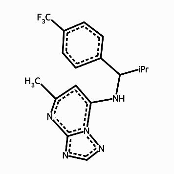 Cc1cc(NC(c2ccc(C(F)(F)F)cc2)C(C)C)n2ncnc2n1